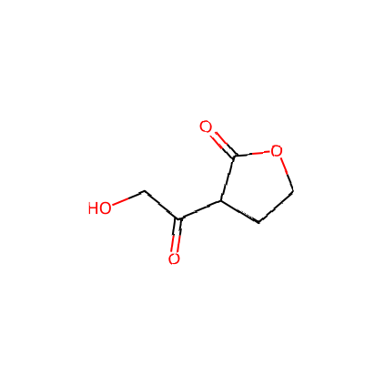 O=C(CO)C1CCOC1=O